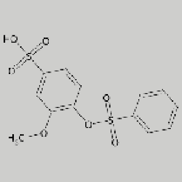 COc1cc(S(=O)(=O)O)ccc1OS(=O)(=O)c1ccccc1